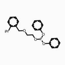 CC(C)c1ccccc1COCCOP(Oc1ccccc1)Oc1ccccc1